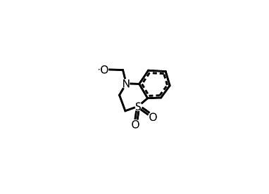 [O]CN1CCS(=O)(=O)c2ccccc21